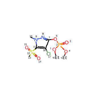 CCOP(=O)(OCC)Oc1nn(C)c(S(C)(=O)=O)c1Cl